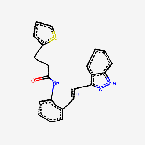 O=C(CCc1cccs1)Nc1ccccc1/C=C/c1n[nH]c2ccccc12